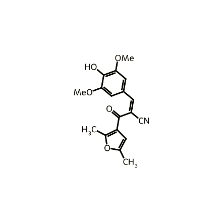 COc1cc(C=C(C#N)C(=O)c2cc(C)oc2C)cc(OC)c1O